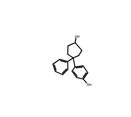 Oc1ccc(C2(c3ccccc3)CCC(O)CC2)cc1